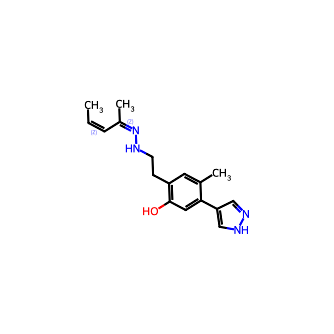 C/C=C\C(C)=N/NCCc1cc(C)c(-c2cn[nH]c2)cc1O